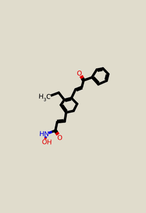 CCC1=C(/C=C/C(=O)c2ccccc2)CCC(/C=C/C(=O)NO)=C1